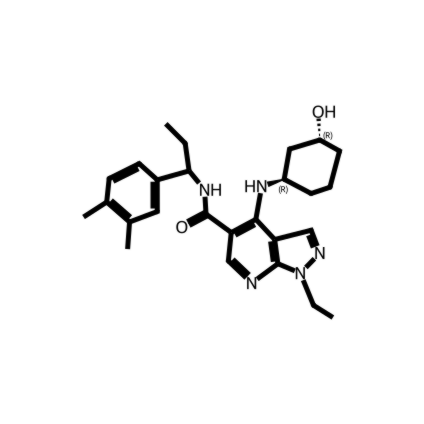 CCC(NC(=O)c1cnc2c(cnn2CC)c1N[C@@H]1CCC[C@@H](O)C1)c1ccc(C)c(C)c1